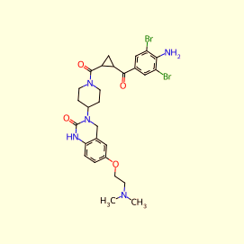 CN(C)CCOc1ccc2c(c1)CN(C1CCN(C(=O)C3CC3C(=O)c3cc(Br)c(N)c(Br)c3)CC1)C(=O)N2